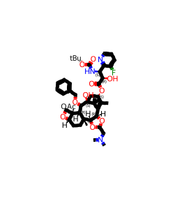 CC(=O)O[C@@]12CO[C@@H]1CC[C@@]1(C)[C@@H]3OC(CN(C)C)O[C@@H]3C3=C(C)[C@@H](OC(=O)[C@H](O)[C@@H](NC(=O)OC(C)(C)C)c4ncccc4F)C[C@@](O)(C(OCc4ccccc4)[C@@H]12)C3(C)C